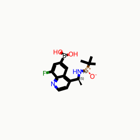 C[C@H](N[S@@+]([O-])C(C)(C)C)c1ccnc2c(F)cc(B(O)O)cc12